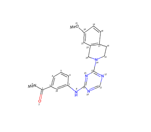 CNC(=O)c1cccc(Nc2ncnc(N3CCc4ccc(OC)cc4C3)n2)c1